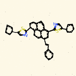 C(=C\c1cc(-c2ncc(-c3ccccc3)s2)c2ccc3ccc(-c4ncc(-c5ccccc5)s4)c4ccc1c2c34)/c1ccccc1